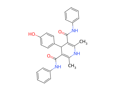 CC1=C(C(=O)Nc2ccccc2)C(c2ccc(O)cc2)C(C(=O)Nc2ccccc2)=C(C)N1